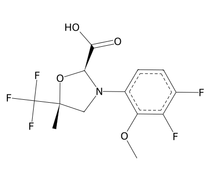 COc1c(N2C[C@](C)(C(F)(F)F)O[C@H]2C(=O)O)ccc(F)c1F